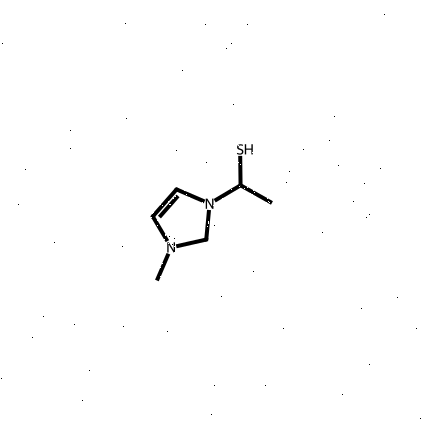 CC(S)N1C=CN(C)C1